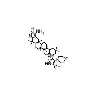 CN1CCN(c2c([C@@H]3CC(C)(C)CC4C5=CCC6[C@@]7(C)Cc8c(n[nH]c8N)C(C)(C)C7CC[C@@]6(C)[C@]5(C)CC[C@@H]43)n[nH]c2O)CC1